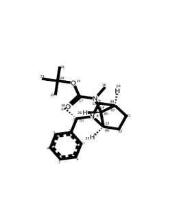 C[C@@H](c1ccccc1)N1C[C@H]2CC[C@@H]1[C@@H]2N(C)C(=O)OC(C)(C)C